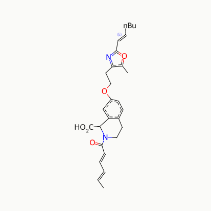 CC=CC=CC(=O)N1CCc2ccc(OCCc3nc(/C=C/CCCC)oc3C)cc2C1C(=O)O